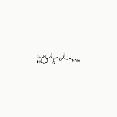 CNCCC(=O)OCC(=O)Nc1cc[nH]c(=O)n1